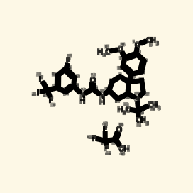 COc1ccc(C23CCC(NC(=O)Nc4cc(F)cc(C(F)(F)F)c4)CC2N(C(C)(C)C)CC3)cc1OC.O=C(O)C(F)(F)F